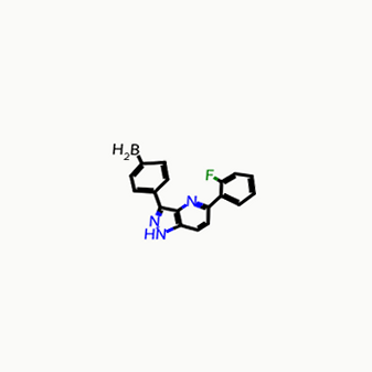 Bc1ccc(-c2n[nH]c3ccc(-c4ccccc4F)nc23)cc1